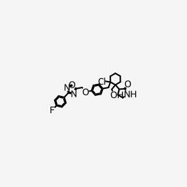 O=C1NCCC1C1(CO)CCCCC1(Cl)Cc1ccc(OCc2nc(-c3ccc(F)cc3)no2)cc1